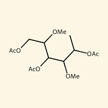 COC(COC(C)=O)C(OC(C)=O)C(OC)C(C)OC(C)=O